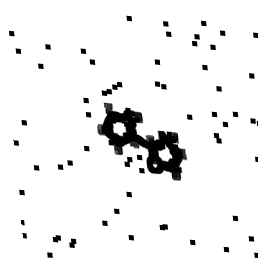 [c]1cnc(-c2cccs2)o1